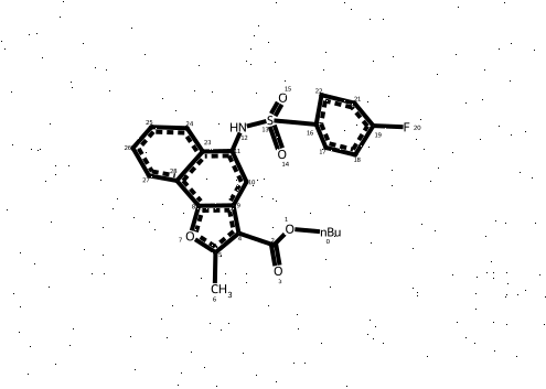 CCCCOC(=O)c1c(C)oc2c1cc(NS(=O)(=O)c1ccc(F)cc1)c1ccccc12